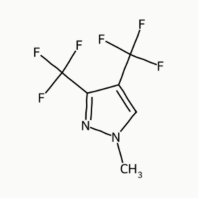 Cn1cc(C(F)(F)F)c(C(F)(F)F)n1